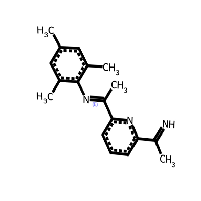 CC(=N)c1cccc(/C(C)=N/c2c(C)cc(C)cc2C)n1